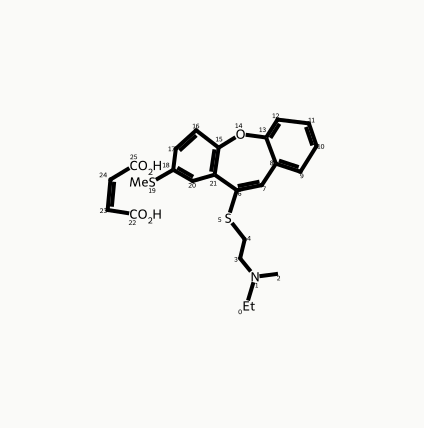 CCN(C)CCSC1=Cc2ccccc2Oc2ccc(SC)cc21.O=C(O)/C=C\C(=O)O